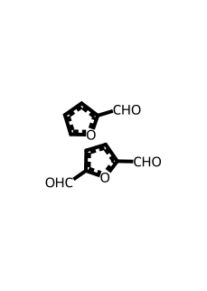 O=Cc1ccc(C=O)o1.O=Cc1ccco1